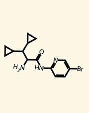 NC(C(=O)Nc1ccc(Br)cn1)C(C1CC1)C1CC1